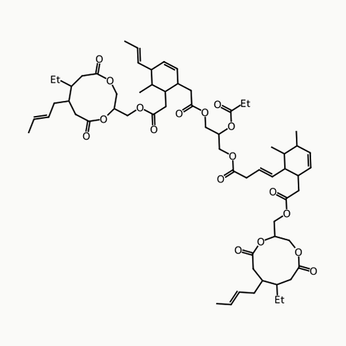 CC=CCC1CC(=O)OC(COC(=O)CC2C=CC(C)C(C)C2C=CCC(=O)OCC(COC(=O)CC2C=CC(C=CC)C(C)C2CC(=O)OCC2COC(=O)CC(CC)C(CC=CC)CC(=O)O2)OC(=O)CC)COC(=O)CC1CC